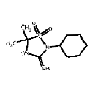 CC1(C)NC(=N)N(C2CCCCC2)S1(=O)=O